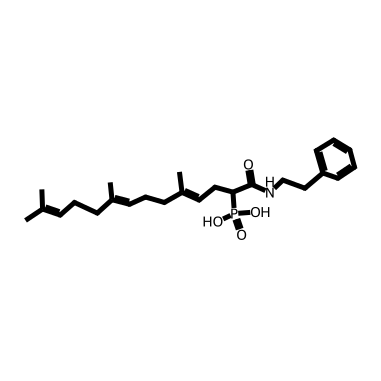 CC(C)=CCC/C(C)=C/CC/C(C)=C/CC(C(=O)NCCc1ccccc1)P(=O)(O)O